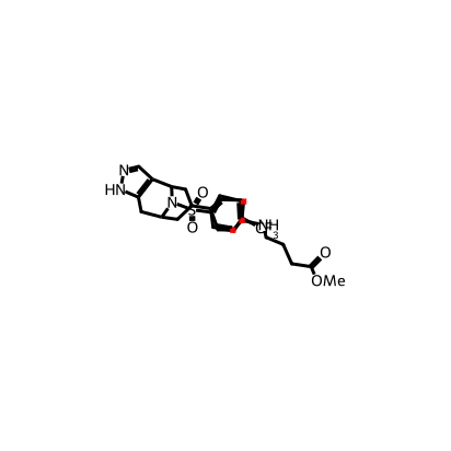 COC(=O)CCCNc1ccc(C2CC3Cc4[nH]ncc4C(C2)N3S(=O)(=O)c2ccc(C(F)(F)F)cc2)cc1